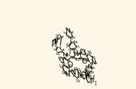 CC(C)Oc1ccc(N2CCC(Oc3cccnc3N3CCN(C)CC3)C2=O)cc1.CN1CCN(c2ncccc2OC2CCN(c3ccc(-c4ccncc4)cc3)C2=O)CC1